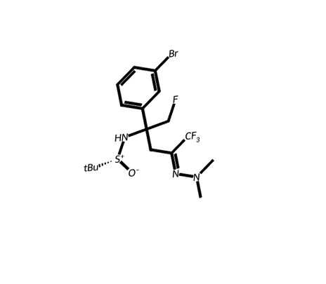 CN(C)/N=C(/CC(CF)(N[S@+]([O-])C(C)(C)C)c1cccc(Br)c1)C(F)(F)F